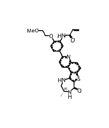 C=CC(=O)Nc1cc(-c2ccc3c(ccc4sc5c(c43)NC[C@@H](C)NC5=O)n2)ccc1OCCOC